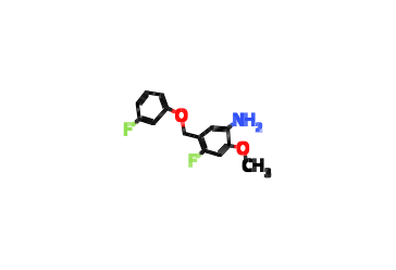 COc1cc(F)c(COc2cccc(F)c2)cc1N